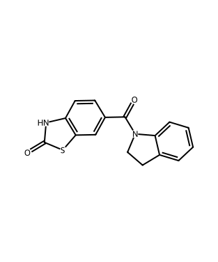 O=C(c1ccc2[nH]c(=O)sc2c1)N1CCc2ccccc21